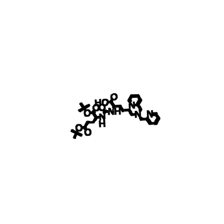 CC(C)(C)OC(=O)CCC(NC(=O)NC(CCCCN(Cc1ccccn1)Cc1ccccn1)C(=O)O)C(=O)OC(C)(C)C